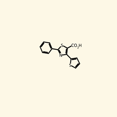 O=C(O)c1sc(-c2ccccc2)nc1-c1cccs1